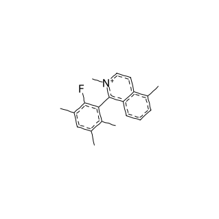 Cc1cc(C)c(F)c(-c2c3cccc(C)c3cc[n+]2C)c1C